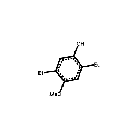 CCc1cc(OC)c(CC)cc1O